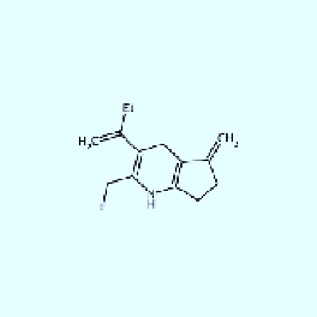 C=C(CC)C1=C(CF)NC2=C(C1)C(=C)CC2